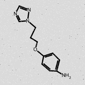 Nc1ccc(OCCCn2cncn2)cc1